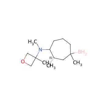 BC1(C)CCCC(N(C)C2(C)COC2)[C@@H](C)C1